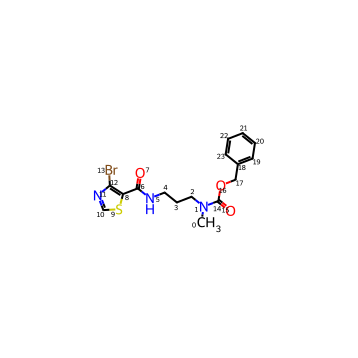 CN(CCCNC(=O)c1scnc1Br)C(=O)OCc1ccccc1